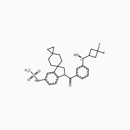 CS(=O)(=O)Nc1ccc2c(c1)C1(CCC3(CC3)CC1)CN2C(=O)c1cccc([C@@H](O)C2CC(F)(F)C2)c1